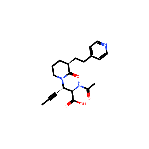 CC#C[C@@H]([C@@H](NC(C)=O)C(=O)O)N1CCC[C@@H](CCc2ccncc2)C1=O